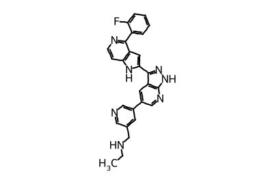 CCNCc1cncc(-c2cnc3[nH]nc(-c4cc5c(-c6ccccc6F)nccc5[nH]4)c3c2)c1